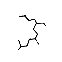 CCCCC(CC)CCC(C)C[CH]C(C)C